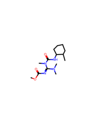 COC(=O)/N=C(/N(C)C)N(C)C(=O)NC1CCCCC1C